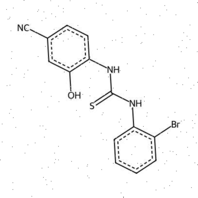 N#Cc1ccc(NC(=S)Nc2ccccc2Br)c(O)c1